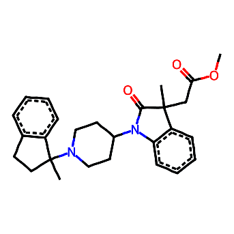 COC(=O)CC1(C)C(=O)N(C2CCN(C3(C)CCc4ccccc43)CC2)c2ccccc21